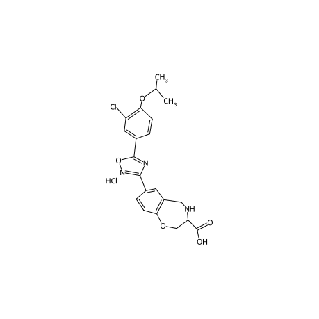 CC(C)Oc1ccc(-c2nc(-c3ccc4c(c3)CNC(C(=O)O)CO4)no2)cc1Cl.Cl